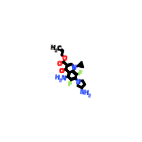 C=CCOC(=O)c1cn(C2CC2)c2c(F)c(N3CCC(N)C3)c(F)c(N)c2c1=O